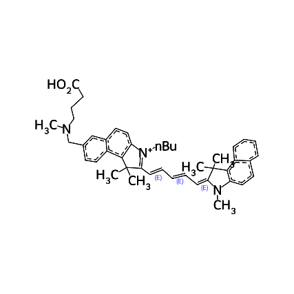 CCCC[N+]1=C(/C=C/C=C/C=C2/N(C)c3ccc4ccccc4c3C2(C)C)C(C)(C)c2c1ccc1cc(CN(C)CCCC(=O)O)ccc21